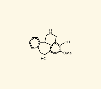 COc1cc2c3c(c1O)CNCC3c1ccccc1CC2.Cl